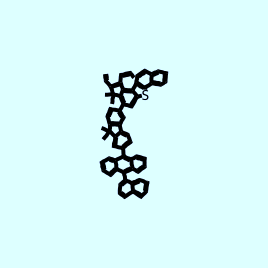 C=CC1=C(/C=C\C)c2c(c(-c3ccc4c(c3)-c3ccc(-c5c6ccccc6c(-c6cccc7ccccc67)c6ccccc56)cc3C4(C)C)cc3sc4c5ccccc5ccc4c23)C1(C)C